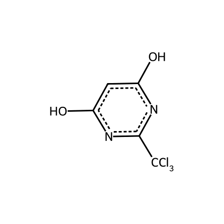 Oc1cc(O)nc(C(Cl)(Cl)Cl)n1